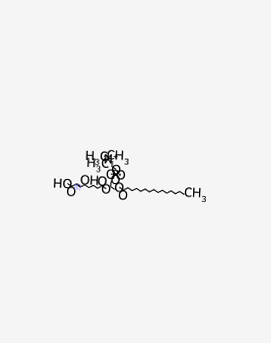 CCCCCCCCCCCCCCCC(=O)OCC(COP(=O)([O-])OCC[N+](C)(C)C)OC(=O)CCCC(O)/C=C/C(=O)O